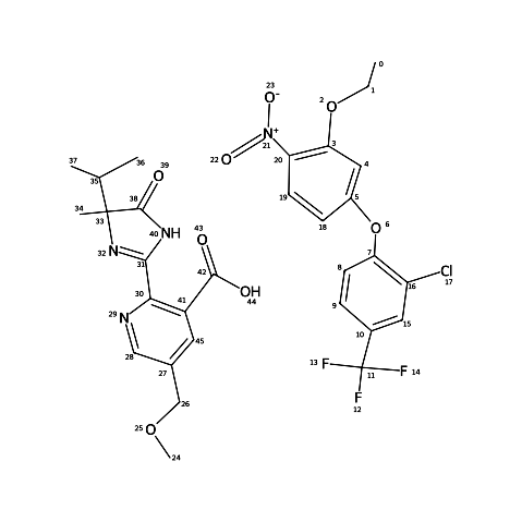 CCOc1cc(Oc2ccc(C(F)(F)F)cc2Cl)ccc1[N+](=O)[O-].COCc1cnc(C2=NC(C)(C(C)C)C(=O)N2)c(C(=O)O)c1